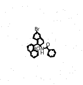 O=C(NC1(O)CC=c2cc(Br)ccc2=C1c1cccc2ccccc12)c1ccccc1